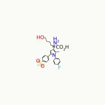 Cc1c([C@](N)(CCCCO)C(=O)O)cc(-c2ccc(S(C)(=O)=O)cc2)n1-c1ccc(F)cc1